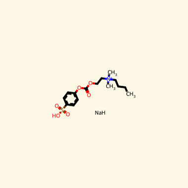 CCCC[N+](C)(C)CCOC(=O)Oc1ccc(S(=O)(=O)O)cc1.[NaH]